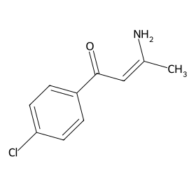 CC(N)=CC(=O)c1ccc(Cl)cc1